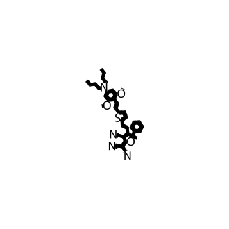 CCCCN(CCCC)c1cc(OC)c(/C=C/c2ccc(/C=C/C3=C(C#N)C(=C(C#N)C#N)OC3(C)c3ccccc3)s2)c(OC)c1